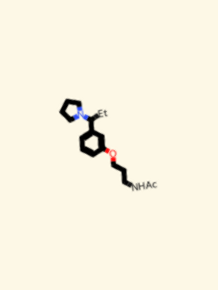 CCC(c1cccc(OCCCNC(C)=O)c1)N1CCCC1